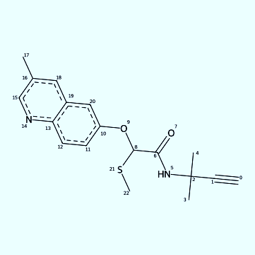 C#CC(C)(C)NC(=O)C(Oc1ccc2ncc(C)cc2c1)SC